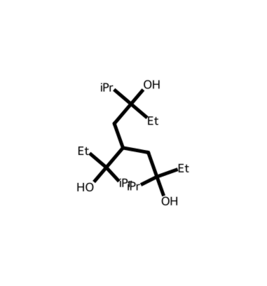 CCC(O)(CC(CC(O)(CC)C(C)C)C(O)(CC)C(C)C)C(C)C